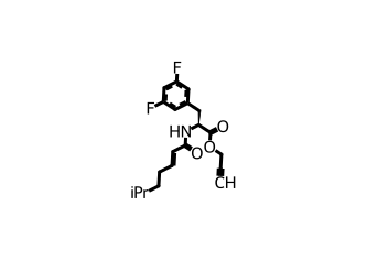 C#CCOC(=O)[C@H](Cc1cc(F)cc(F)c1)NC(=O)/C=C/CCC(C)C